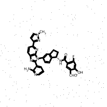 Cn1ccc(-c2ccc3nc(-c4cccnc4N)n(-c4ccc5c(c4)CC[C@@H]5NC(=O)c4cc(C=O)c(O)cc4F)c3n2)n1